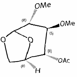 CO[C@H]1[C@H](OC(C)=O)[C@H]2COC(O2)[C@@H]1OC